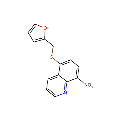 O=[N+]([O-])c1ccc(SCc2ccco2)c2cccnc12